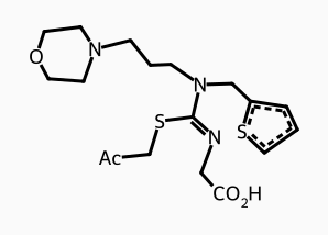 CC(=O)CS/C(=N\CC(=O)O)N(CCCN1CCOCC1)Cc1cccs1